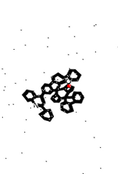 c1ccc(-c2cc(-c3ccc4c(c3)C3(c5ccccc5C5(c6ccccc6-c6ccccc65)c5ccccc53)c3c-4ccc4c3oc3ccccc34)c3ccccc3n2)cc1